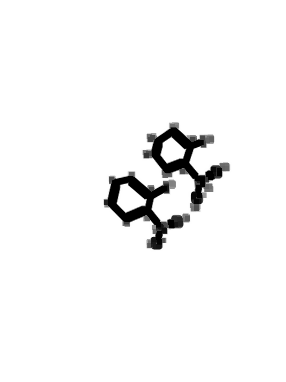 O=[N+]([O-])c1ccccc1I.O=[N+]([O-])c1ccccc1I